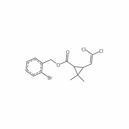 CC1(C)C(C=C(Cl)Cl)C1C(=O)OCc1ccccc1Br